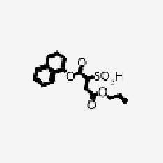 C=CCOC(=O)CC(C(=O)Oc1cccc2ccccc12)S(=O)(=O)O